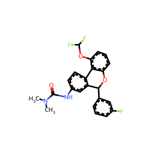 CN(C)C(=O)Nc1ccc2c(c1)C(c1cccc(F)c1)Oc1cccc(OC(F)F)c1-2